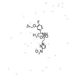 CC(NS(=O)(=O)CCn1ccc([N+](=O)[O-])n1)c1ccc(F)c(OCC2CC2)c1